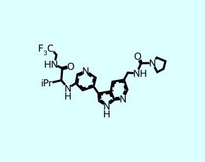 CC(C)C(Nc1cncc(-c2c[nH]c3ncc(CNC(=O)N4CCCC4)cc23)c1)C(=O)NCC(F)(F)F